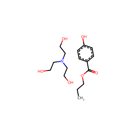 CCCOC(=O)c1ccc(O)cc1.OCCN(CCO)CCO